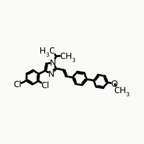 COc1ccc(-c2ccc(C=Cc3nc(-c4ccc(Cl)cc4Cl)cn3C(C)C)cc2)cc1